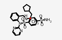 C[C@@H](CC1CCCC1)NCc1ccccc1N(c1ncccn1)S(=O)(=O)c1ccc(S(N)(=O)=O)cc1